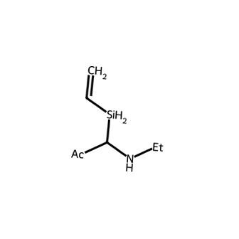 C=C[SiH2]C(NCC)C(C)=O